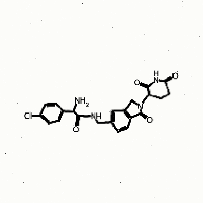 NC(C(=O)NCc1ccc2c(c1)CN(C1CCC(=O)NC1=O)C2=O)c1ccc(Cl)cc1